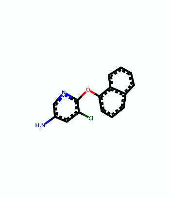 Nc1cnc(Oc2cccc3ccccc23)c(Cl)c1